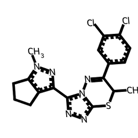 CC1Sc2nnc(-c3nn(C)c4c3CCC4)n2N=C1c1ccc(Cl)c(Cl)c1